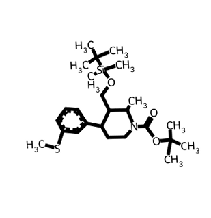 CSc1cccc(C2CCN(C(=O)OC(C)(C)C)C(C)C2CO[Si](C)(C)C(C)(C)C)c1